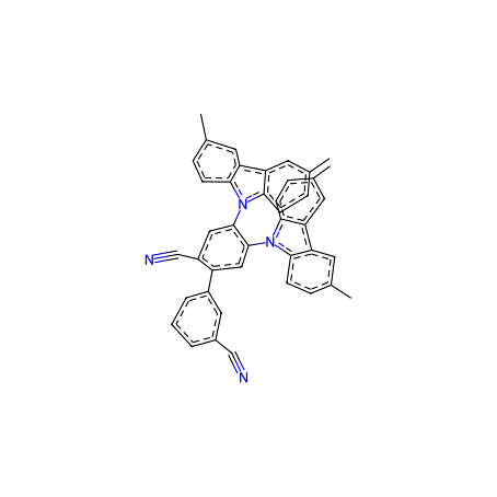 Cc1ccc2c(c1)c1cc(C)ccc1n2-c1cc(C#N)c(-c2cccc(C#N)c2)cc1-n1c2ccc(C)cc2c2cc(C)ccc21